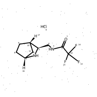 Cl.O=C(NC[C@H]1N[C@@H]2CC[C@H]1C2)C(F)(F)F